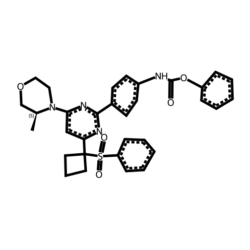 C[C@H]1COCCN1c1cc(C2(S(=O)(=O)c3ccccc3)CCC2)nc(-c2ccc(NC(=O)Oc3ccccc3)cc2)n1